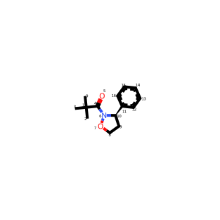 CC(C)(C)C(=O)N1OCC[C@@H]1c1ccccc1